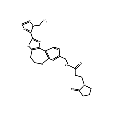 O=C(CCN1CCCC1=O)NCc1ccc2c(c1)OCCc1sc(-c3ncnn3CC(F)(F)F)nc1-2